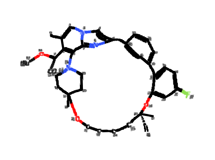 Cc1cn2cc3nc2c(c1C(OC(C)(C)C)C(=O)O)N1CCC(C)(CC1)OCCCC[C@H](C)Oc1cc(F)ccc1-c1cccc-3c1